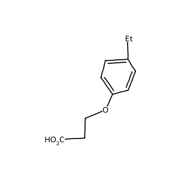 CCc1ccc(OCCC(=O)O)cc1